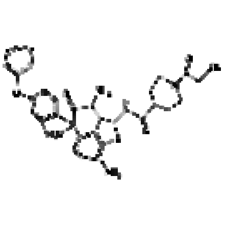 Cc1cc(Oc2ccccc2)ccc1C1(N)C(=O)C(N)C2c3c1ccc(N)c3SC2NC(=O)C1CCN(C(=O)CC#N)CC1